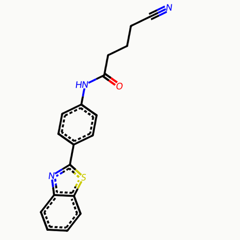 N#CCCCC(=O)Nc1ccc(-c2nc3ccccc3s2)cc1